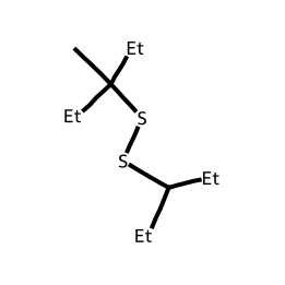 CCC(CC)SSC(C)(CC)CC